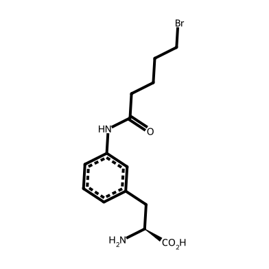 N[C@@H](Cc1cccc(NC(=O)CCCCBr)c1)C(=O)O